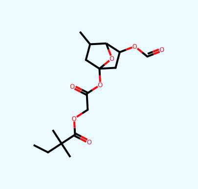 CCC(C)(C)C(=O)OCC(=O)OC12CC(C)C(O1)C(OC=O)C2